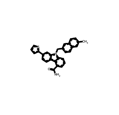 Cc1ccc2cc(Cn3c4cc(-c5cccs5)c[c]c4c4c(C(N)=O)cccc43)ccc2c1